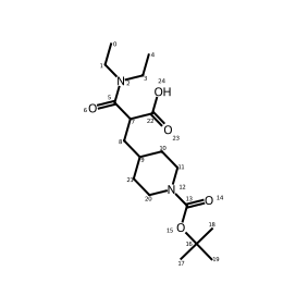 CCN(CC)C(=O)C(CC1CCN(C(=O)OC(C)(C)C)CC1)C(=O)O